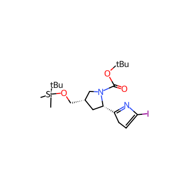 CC(C)(C)OC(=O)N1C[C@@H](CO[Si](C)(C)C(C)(C)C)C[C@H]1C1=NC(I)=CC1